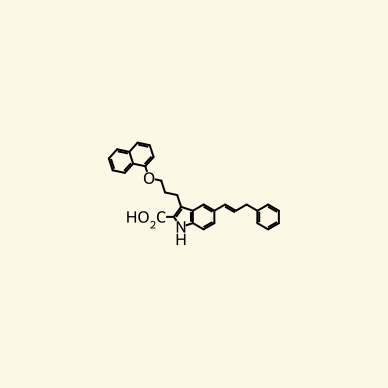 O=C(O)c1[nH]c2ccc(C=CCc3ccccc3)cc2c1CCCOc1cccc2ccccc12